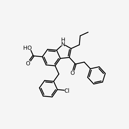 CCCc1[nH]c2cc(C(=O)O)cc(Cc3ccccc3Cl)c2c1C(=O)Cc1ccccc1